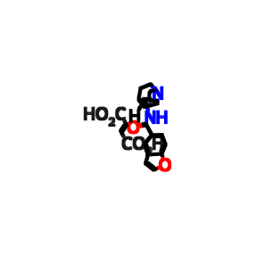 O=C(N[C@H]1CN2CCC1CC2)c1ccc2occc2c1.O=C(O)C=CC(=O)O